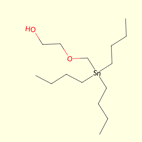 CCC[CH2][Sn]([CH2]CCC)([CH2]CCC)[CH2]OCCO